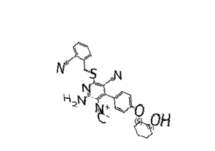 [C-]#[N+]c1c(N)nc(SCc2ccccc2C#N)c(C#N)c1-c1ccc(O[C@H]2CCCC[C@@H]2O)cc1